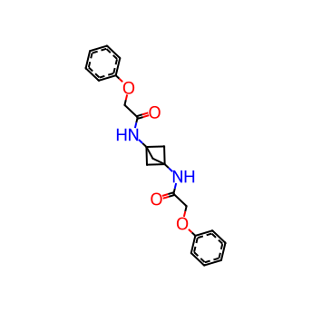 O=C(COc1ccccc1)NC12CC(NC(=O)COc3ccccc3)(C1)C2